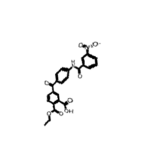 CCOC(=O)c1ccc(C(=O)c2ccc(NC(=O)c3cccc([N+](=O)[O-])c3)cc2)cc1C(=O)O